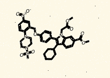 COC(=O)Cn1c(-c2ccc(OCc3cc([N+](=O)[O-])ccc3N3CCN(S(C)(=O)=O)CC3)cc2)c(C2CCCCC2)c2ccc(C(=O)OC)cc21